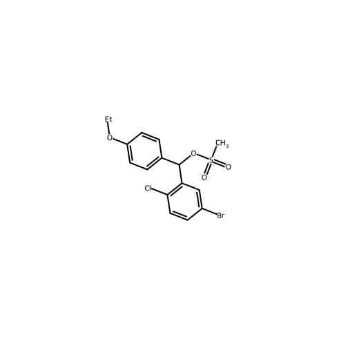 CCOc1ccc(C(OS(C)(=O)=O)c2cc(Br)ccc2Cl)cc1